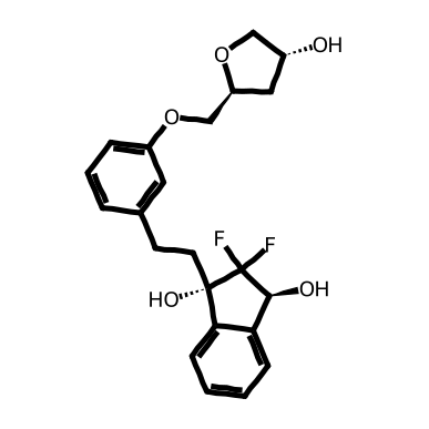 O[C@H]1CO[C@H](COc2cccc(CC[C@]3(O)c4ccccc4[C@H](O)C3(F)F)c2)C1